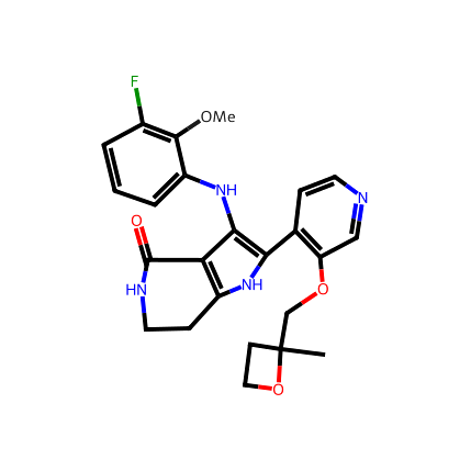 COc1c(F)cccc1Nc1c(-c2ccncc2OCC2(C)CCO2)[nH]c2c1C(=O)NCC2